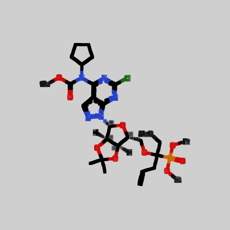 C=CCC(COC)(OC[C@H]1O[C@@H](n2ncc3c(N(C(=O)OC(C)(C)C)C4CCCC4)nc(Cl)nc32)[C@@H]2OC(C)(C)O[C@@H]21)P(=O)(OCC)OCC